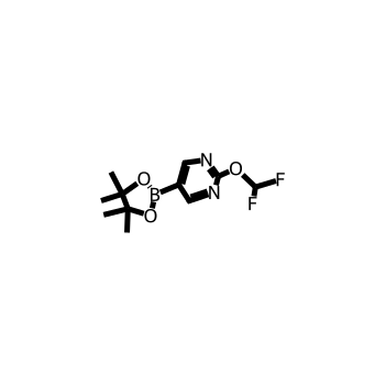 CC1(C)OB(c2cnc(OC(F)F)nc2)OC1(C)C